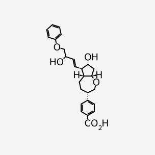 O=C(O)c1ccc([C@@H]2CC[C@@H]3[C@@H](C=C[C@@H](O)COc4ccccc4)[C@H](O)C[C@@H]3OC2)cc1